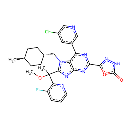 COC(C)(c1ncccc1F)c1nc2nc(-c3n[nH]c(=O)o3)nc(-c3cncc(Cl)c3)c2n1C[C@H]1CC[C@H](C)CC1